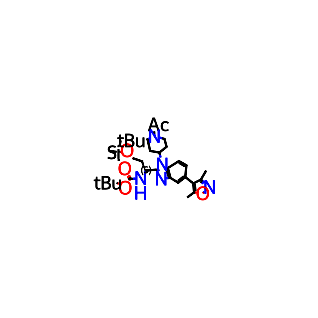 CC(=O)N1CCC(n2c([C@H](CCO[Si](C)(C)C(C)(C)C)NC(=O)OC(C)(C)C)nc3cc(-c4c(C)noc4C)ccc32)CC1